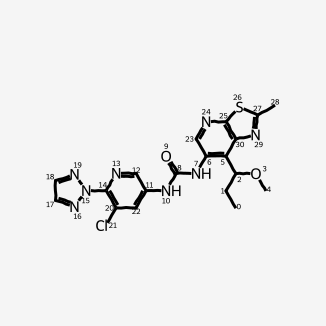 CCC(OC)c1c(NC(=O)Nc2cnc(-n3nccn3)c(Cl)c2)cnc2sc(C)nc12